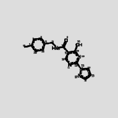 Cc1ccc(CNC(=O)c2cnc(-n3cccn3)nc2O)cc1